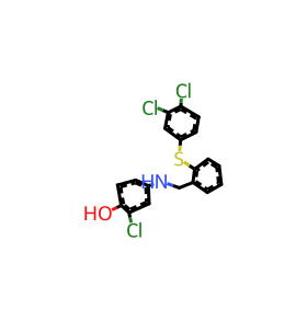 Oc1ccc(NCc2ccccc2Sc2ccc(Cl)c(Cl)c2)cc1Cl